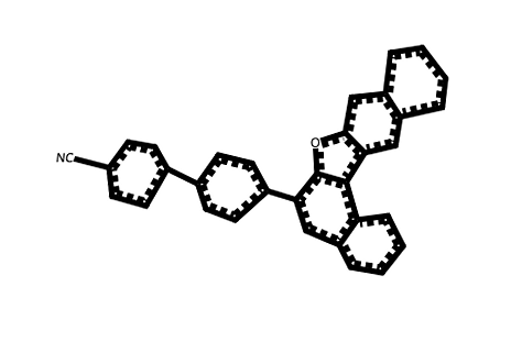 N#Cc1ccc(-c2ccc(-c3cc4ccccc4c4c3oc3cc5ccccc5cc34)cc2)cc1